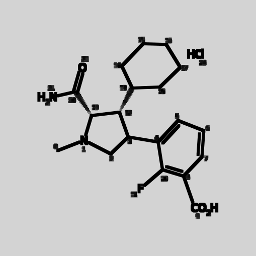 CN1CC(c2cccc(C(=O)O)c2F)[C@@H](C2CCCCC2)[C@H]1C(N)=O.Cl